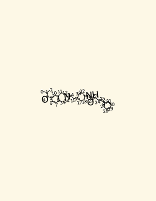 CC(C)C(=O)c1ccc2c(c1)CCN(CCC1CCC(NC(=O)C/C=C/c3ccccc3)CC1)CC2